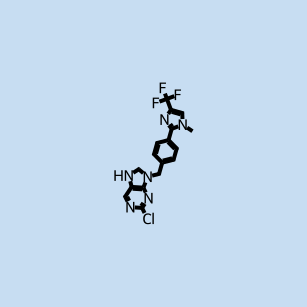 Cn1cc(C(F)(F)F)nc1-c1ccc(CN2CNc3cnc(Cl)nc32)cc1